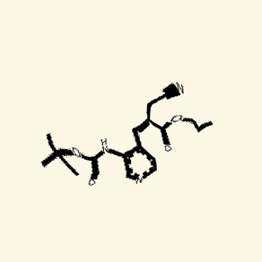 CCOC(=O)C(=Cc1ccncc1NC(=O)OC(C)(C)C)CC#N